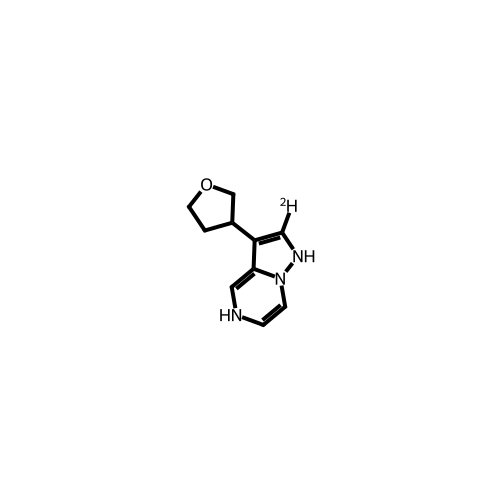 [2H]C1=C(C2CCOC2)C2=CNC=CN2N1